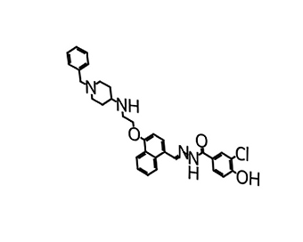 O=C(N/N=C/c1ccc(OCCNC2CCN(Cc3ccccc3)CC2)c2ccccc12)c1ccc(O)c(Cl)c1